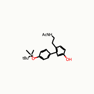 CC(=O)NCCc1ccc(O)cc1-c1ccc(O[Si](C)(C)C(C)(C)C)cc1